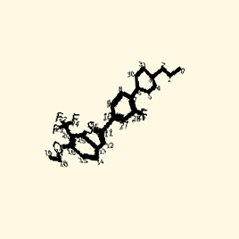 CCCC1CCC(c2ccc(-c3cc4ccc(OCC)c(C(F)(F)F)c4s3)cc2F)CC1